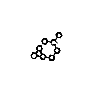 C1=Cc2c(c3ccc(-c4cccc(-c5cccc(-c6nc(-c7ccccc7)cc(-c7ccccc7)n6)c5)c4)cc3c3ccccc23)CC1